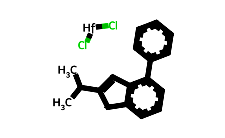 CC(C)C1=Cc2c(cccc2-c2ccccc2)[CH]1.[Cl][Hf][Cl]